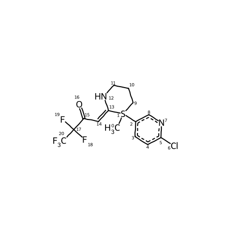 CS1(c2ccc(Cl)nc2)CCCNC1=CC(=O)C(F)(F)C(F)(F)F